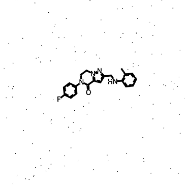 Cc1ccccc1NCc1cc2n(n1)CCN(c1ccc(F)cc1)C2=O